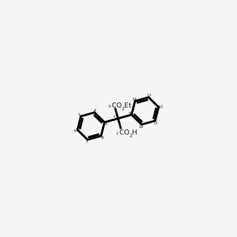 CCOC(=O)C(C(=O)O)(c1ccccc1)c1ccccc1